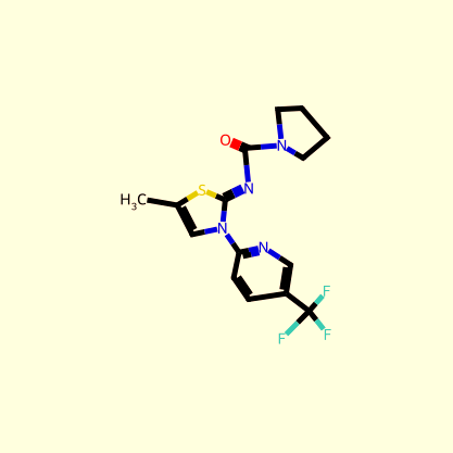 Cc1cn(-c2ccc(C(F)(F)F)cn2)/c(=N/C(=O)N2CCCC2)s1